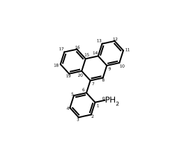 Pc1ccccc1-c1cc2ccccc2c2ccccc12